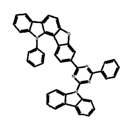 c1ccc(-c2nc(-c3ccc4c(c3)oc3ccc5c6ccccc6n(-c6ccccc6)c5c34)nc(-n3c4ccccc4c4ccccc43)n2)cc1